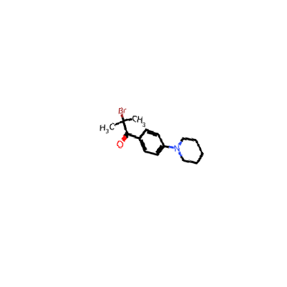 CC(C)(Br)C(=O)c1ccc(N2CCCCC2)cc1